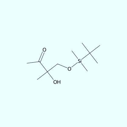 CC(=O)C(C)(O)CO[Si](C)(C)C(C)(C)C